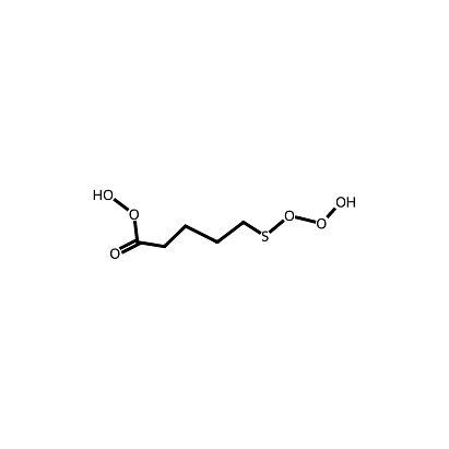 O=C(CCCCSOOO)OO